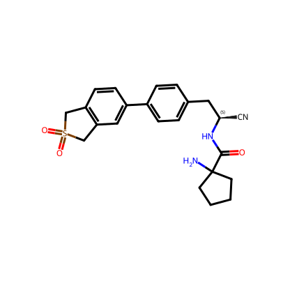 N#C[C@H](Cc1ccc(-c2ccc3c(c2)CS(=O)(=O)C3)cc1)NC(=O)C1(N)CCCC1